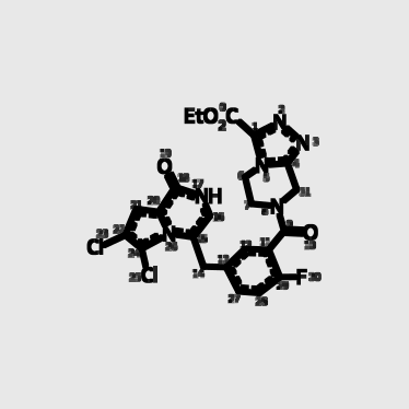 CCOC(=O)c1nnc2n1CCN(C(=O)c1cc(Cc3c[nH]c(=O)c4cc(Cl)c(Cl)n34)ccc1F)C2